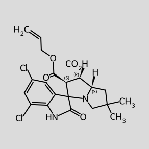 C=CCOC(=O)[C@H]1[C@@H](C(=O)O)[C@@H]2CC(C)(C)CN2C12C(=O)Nc1c(Cl)cc(Cl)cc12